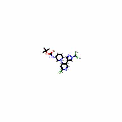 CC(C)(C)OC(=O)N[C@H]1CCCN(c2cc(Cl)ncc2-c2cnn(C(F)F)c2)C1